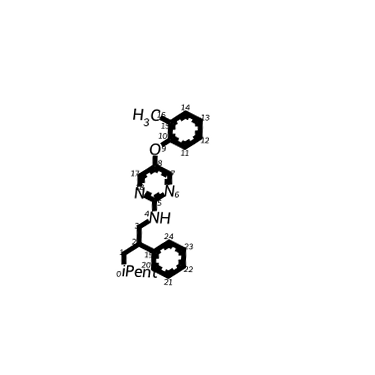 CCCC(C)CC(CNc1ncc(Oc2ccccc2C)cn1)c1ccccc1